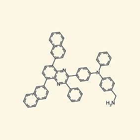 NCc1ccc(N(c2ccccc2)c2ccc(-c3nc4c(-c5ccc6ccccc6c5)ccc(-c5ccc6ccccc6c5)c4nc3-c3ccccc3)cc2)cc1